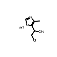 Cc1ncsc1C(O)CCl.Cl